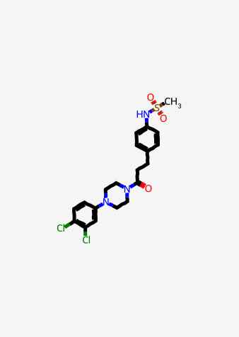 CS(=O)(=O)Nc1ccc(CCC(=O)N2CCN(c3ccc(Cl)c(Cl)c3)CC2)cc1